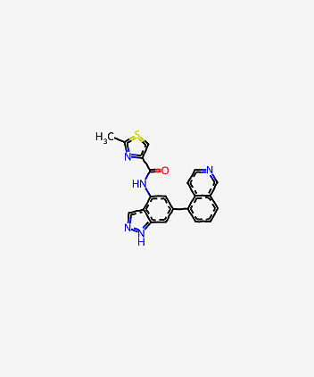 Cc1nc(C(=O)Nc2cc(-c3cccc4cnccc34)cc3[nH]ncc23)cs1